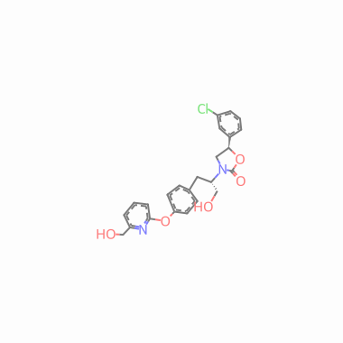 O=C1O[C@H](c2cccc(Cl)c2)CN1[C@H](CO)Cc1ccc(Oc2cccc(CO)n2)cc1